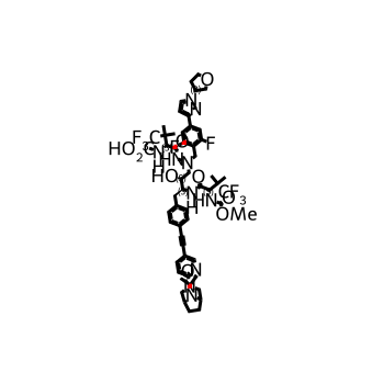 COC(=O)N[C@H](C(=O)N[C@@H](Cc1ccc(C#Cc2ccc(N3CC4CCC(C3)N4C3COC3)nc2)cc1)[C@@H](O)CN(Cc1c(F)cc(-c2ccn([C@@H]3CCOC3)n2)cc1F)NC(=O)[C@@H](NC(=O)O)C(C)(C)C(F)(F)F)C(C)(C)C(F)(F)F